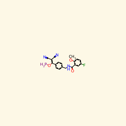 COc1ccc(F)cc1C(=O)NCc1ccc(C(OP)=C(C#N)C#N)cc1